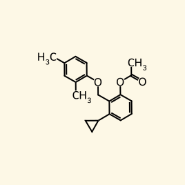 CC(=O)Oc1cccc(C2CC2)c1COc1ccc(C)cc1C